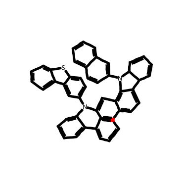 C1=CC2c3ccc4ccc(N(c5ccc6sc7ccccc7c6c5)c5ccccc5-c5ccccc5)cc4c3N(c3ccc4ccccc4c3)C2C=C1